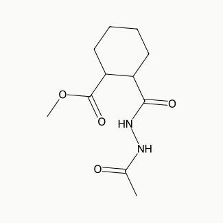 COC(=O)C1CCCCC1C(=O)NNC(C)=O